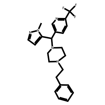 Cn1nccc1C(c1ccc(C(F)(F)F)nc1)N1CCN(CCc2ccccc2)CC1